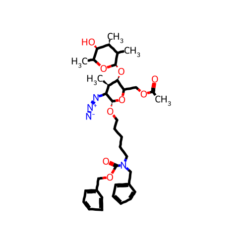 CC(=O)OCC1O[C@H](OCCCCCN(Cc2ccccc2)C(=O)OCc2ccccc2)C(N=[N+]=[N-])[C@@H](C)[C@@H]1O[C@@H]1OC(C)[C@@H](O)[C@H](C)C1C